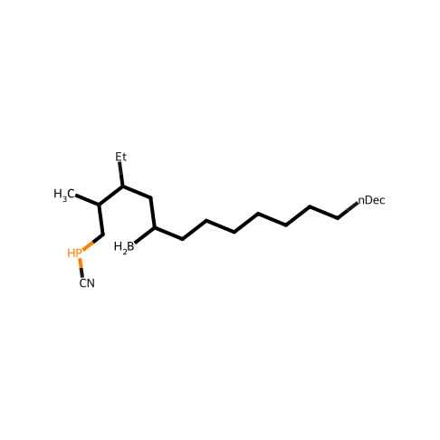 BC(CCCCCCCCCCCCCCCCC)CC(CC)C(C)CPC#N